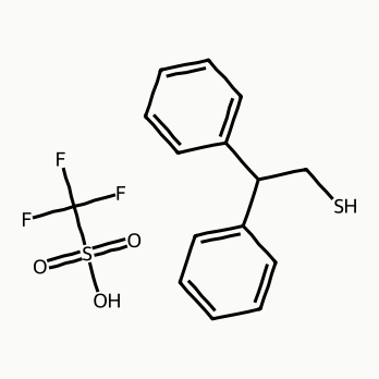 O=S(=O)(O)C(F)(F)F.SCC(c1ccccc1)c1ccccc1